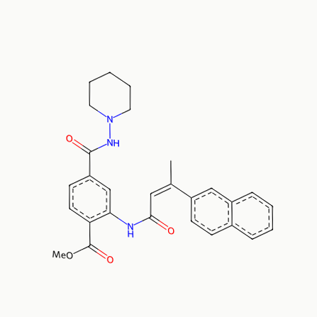 COC(=O)c1ccc(C(=O)NN2CCCCC2)cc1NC(=O)/C=C(/C)c1ccc2ccccc2c1